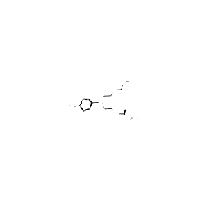 CCCCNC(=O)OCCN(CCOC(=O)NCCCC)c1ccc(N)cc1